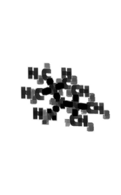 CS(C)(C)N(N)S(C)(C)C